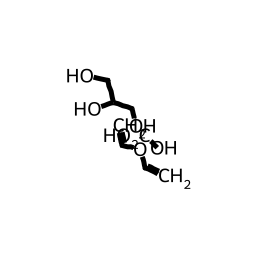 C=COC=C.O=C(O)O.OCC(O)CO